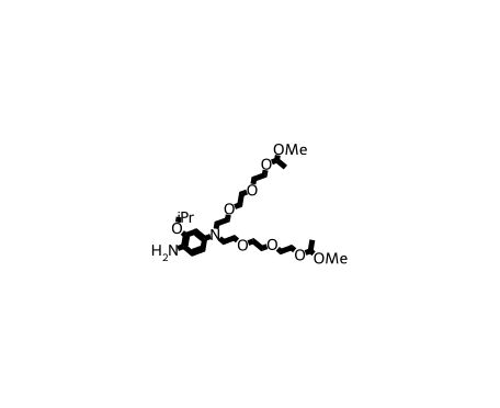 COC(C)OCCOCCOCCN(CCOCCOCCOC(C)OC)c1ccc(N)c(OC(C)C)c1